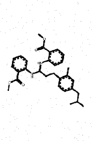 COC(=O)c1ccccc1NC(CCc1ccc(CC(C)C)cc1C)Nc1ccccc1C(=O)OC